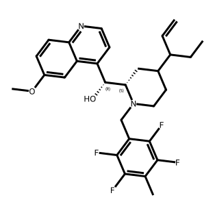 C=CC(CC)C1CCN(Cc2c(F)c(F)c(C)c(F)c2F)[C@H]([C@H](O)c2ccnc3ccc(OC)cc23)C1